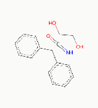 N=C=O.OCCO.c1ccc(Cc2ccccc2)cc1